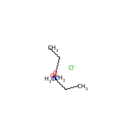 CCCCCCCC/C=C\CCCCCCCCOCC(=O)[N+](C)(C)CCCCCCCC/C=C\CCCCCCCC.[Cl-]